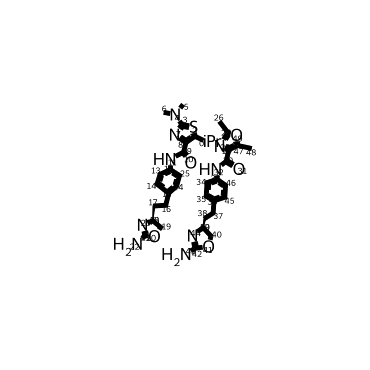 CC(C)c1sc(N(C)C)nc1C(=O)Nc1ccc(CC[C@H]2COC(N)=N2)cc1.Cc1nc(C(=O)Nc2ccc(CC[C@H]3COC(N)=N3)cc2)c(C)o1